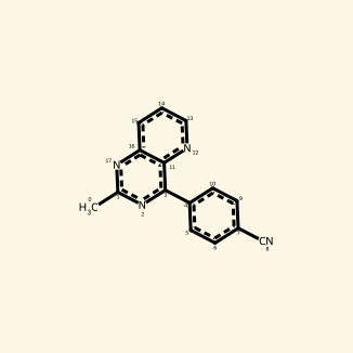 Cc1nc(-c2ccc(C#N)cc2)c2ncccc2n1